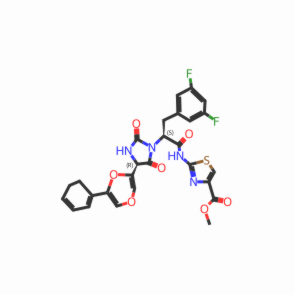 COC(=O)c1csc(NC(=O)[C@H](Cc2cc(F)cc(F)c2)N2C(=O)N[C@H](C3=COC=C(C4=CC=CCC4)O3)C2=O)n1